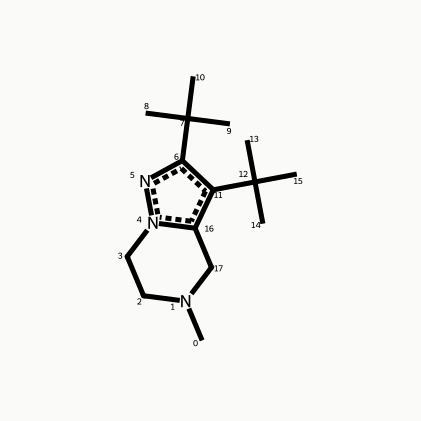 CN1CCn2nc(C(C)(C)C)c(C(C)(C)C)c2C1